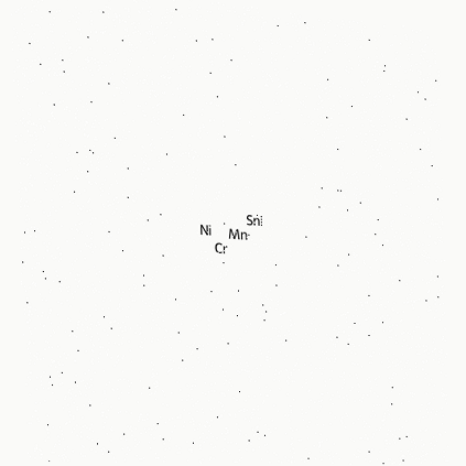 [Cr].[Mn].[Ni].[Sn]